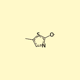 Cc1cnc([O])s1